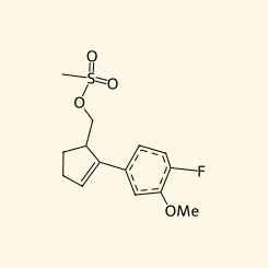 COc1cc(C2=CCCC2COS(C)(=O)=O)ccc1F